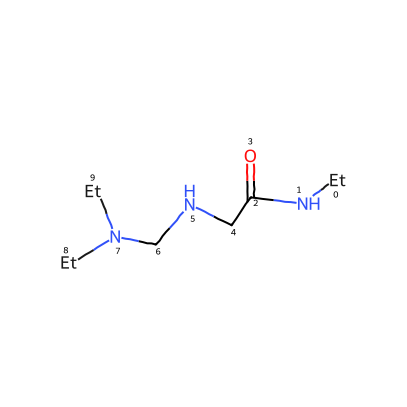 CCNC(=O)CNCN(CC)CC